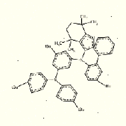 CC(C)(C)c1ccc(N(c2ccc(C(C)(C)C)cc2)c2cc(N(c3ccc(C(C)(C)C)cc3-c3ccccc3)c3coc4c3C(C)(C)CCC4(C)C)cc(C(C)(C)C)c2)cc1